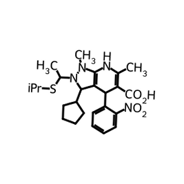 CC1=C(C(=O)O)C(c2ccccc2[N+](=O)[O-])C2=C(N1)N(C)N(C(C)SC(C)C)C2C1CCCC1